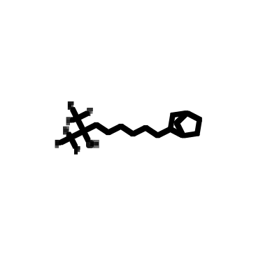 OC(CCCCCCC1CC2CCC1C2)(C(F)(F)F)C(F)(F)F